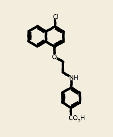 O=C(O)c1ccc(NCCOc2ccc(Cl)c3ccccc23)cc1